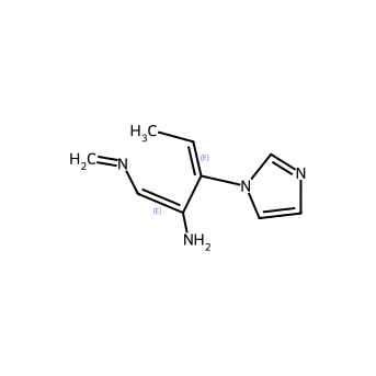 C=N/C=C(N)\C(=C/C)n1ccnc1